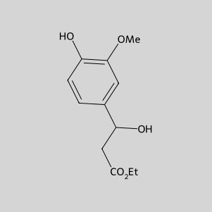 CCOC(=O)CC(O)c1ccc(O)c(OC)c1